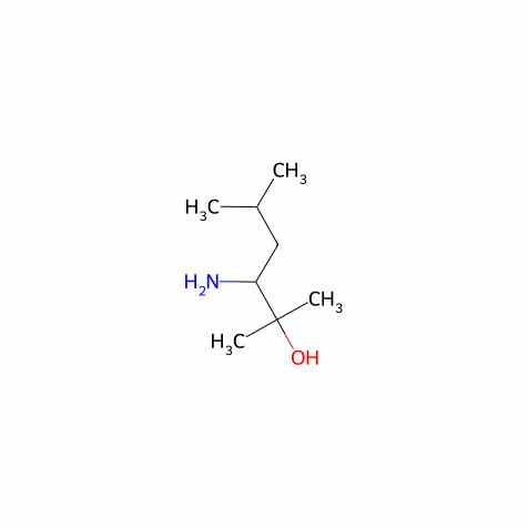 CC(C)CC(N)C(C)(C)O